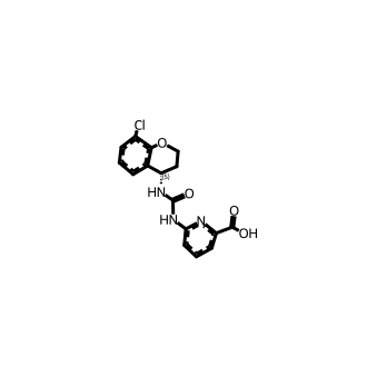 O=C(Nc1cccc(C(=O)O)n1)N[C@H]1CCOc2c(Cl)cccc21